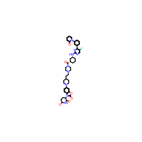 O=C1CCC(n2c(=O)oc3cc(N4CCC(CCN5CCN(C(=O)[C@H]6CCC[C@@H](Nc7ncc(F)c(-c8cccc(-n9ccccc9=O)c8)n7)C6)CC5)CC4)ccc32)C(=O)N1